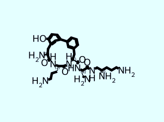 NCCC[C@H](N)CNC(=O)[C@H](CN)NC(=O)[C@@H]1Cc2cccc(c2)-c2ccc(O)c(c2)C[C@H](N)C(=O)N[C@@H](CCCN)C(=O)N1